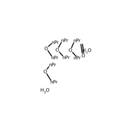 C=O.CCCOCCC.CCCOCCC.CCCOCCC.CCCOCCC.O.O